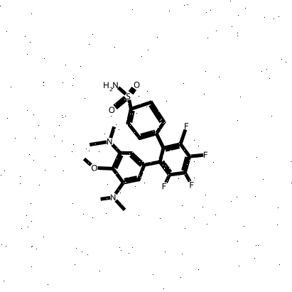 COc1c(N(C)C)cc(-c2c(F)c(F)c(F)c(F)c2-c2ccc(S(N)(=O)=O)cc2)cc1N(C)C